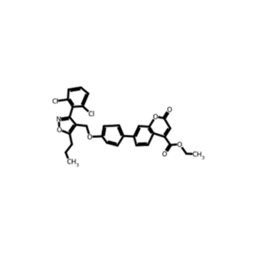 CCCc1onc(-c2c(Cl)cccc2Cl)c1COc1ccc(-c2ccc3c(C(=O)OCC)cc(=O)oc3c2)cc1